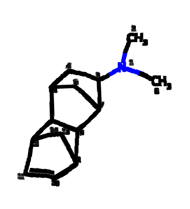 CN(C)C1CC2CC1C1C3C=CC(C3)C21